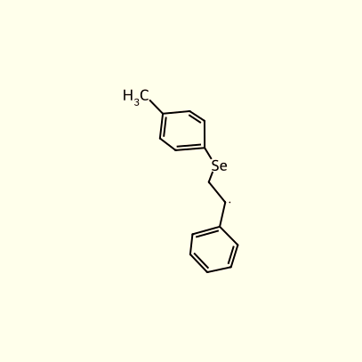 Cc1ccc([Se]C[CH]c2ccccc2)cc1